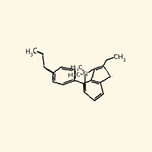 CCCc1ccc(-c2c3ccc4c2C(=C(CC)[CH]4)[Si]3(C)C)cc1